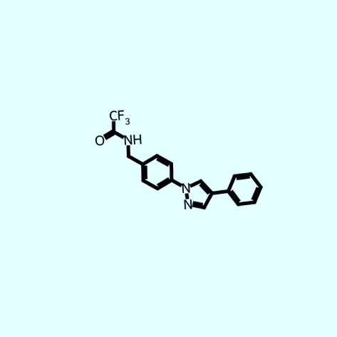 O=C(NCc1ccc(-n2cc(-c3ccccc3)cn2)cc1)C(F)(F)F